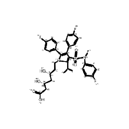 CC(C)c1c(S(=O)(=O)N(F)c2ccc(F)cc2)c(-c2ccc(F)cc2)c(-c2ccc(F)cc2)n1CC[C@@H](O)C[C@@H](O)CC(=O)O